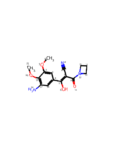 COc1cc(/C(O)=C(\C#N)C(=O)N2CCC2)cc(N)c1OC